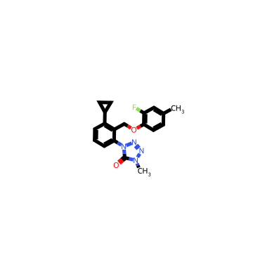 Cc1ccc(OCc2c(C3CC3)cccc2-n2nnn(C)c2=O)c(F)c1